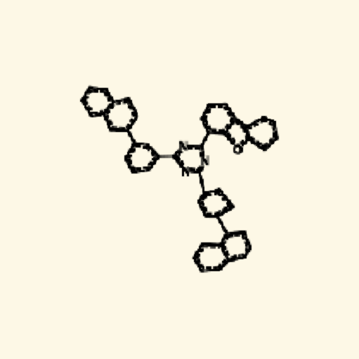 c1cc(-c2ccc3ccccc3c2)cc(-c2nc(-c3ccc(-c4cccc5ccccc45)cc3)nc(-c3cccc4c3oc3ccccc34)n2)c1